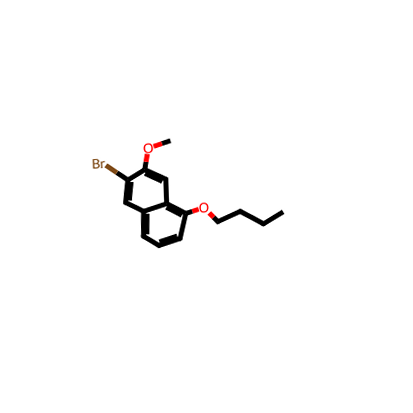 CCCCOc1cccc2cc(Br)c(OC)cc12